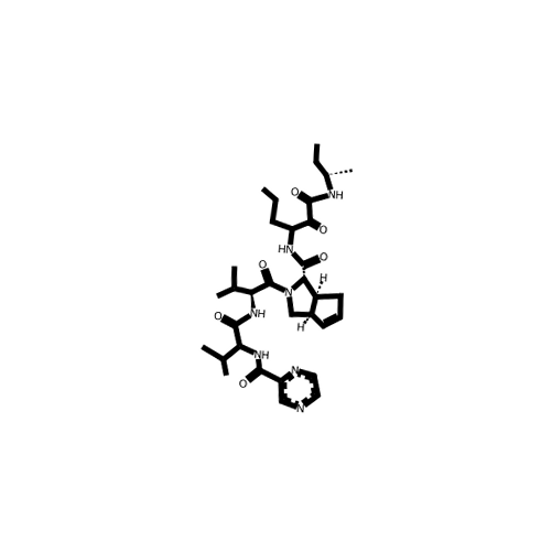 CCCC(NC(=O)[C@@H]1[C@H]2CC=C[C@H]2CN1C(=O)[C@@H](NC(=O)C(NC(=O)c1cnccn1)C(C)C)C(C)C)C(=O)C(=O)N[C@@H](C)CC